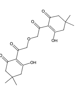 CC1(C)CC(=O)C(C(=O)COCC(=O)C2=C(O)CC(C)(C)CC2=O)=C(O)C1